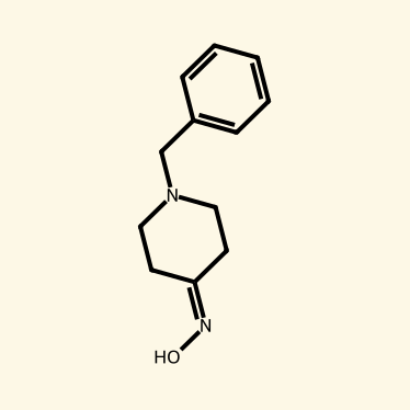 ON=C1CCN(Cc2ccccc2)CC1